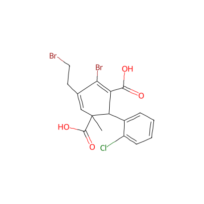 CC1(C(=O)O)C=C(CCBr)C(Br)=C(C(=O)O)C1c1ccccc1Cl